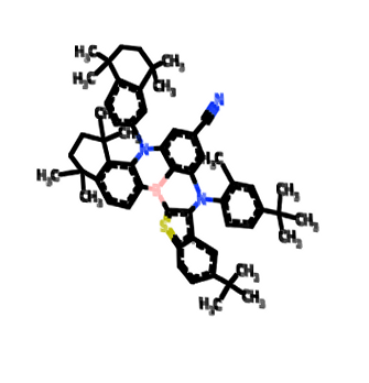 Cc1cc(C(C)(C)C)ccc1N1c2cc(C#N)cc3c2B(c2ccc4c(c2N3c2ccc3c(c2)C(C)(C)CCC3(C)C)C(C)(C)CCC4(C)C)c2sc3ccc(C(C)(C)C)cc3c21